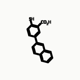 O=C(O)c1cc(-c2ccc3ccccc3c2)ccc1S